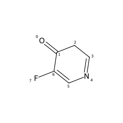 O=C1CC=NC=C1F